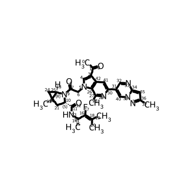 CC(=O)c1cn(CC(=O)N2[C@H](C(=O)N[C@@H](C)C(F)=C(C)C)C[C@@]3(C)C[C@@H]23)c2c(C)nc(-c3cnc4cc(C)nn4c3)cc12